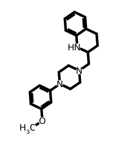 COc1cccc(N2CCN(CC3CCc4ccccc4N3)CC2)c1